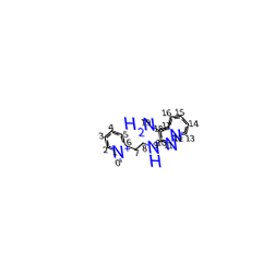 C[n+]1ccccc1CCNc1nn2ccccc2c1N